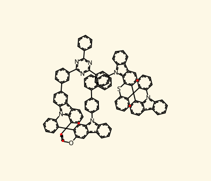 c1ccc(-c2nc(-c3cccc(-c4ccc5c(c4)c4cccc6c4n5-c4ccccc4C64c5ccccc5Oc5cc6c7ccccc7n(-c7ccc(-c8cccc9ccccc89)cc7)c6cc54)c3)nc(-c3cccc(-n4c5ccccc5c5ccc6c(c54)Sc4ccccc4C64c5ccccc5-n5c6ccccc6c6cccc4c65)c3)n2)cc1